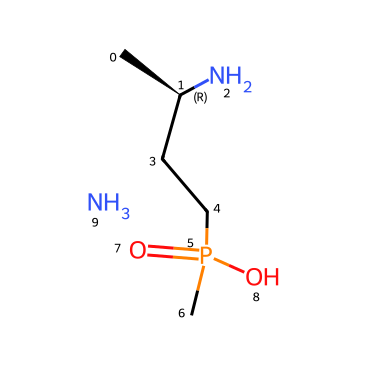 C[C@@H](N)CCP(C)(=O)O.N